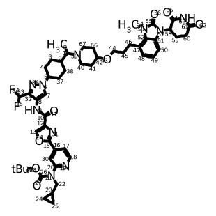 CC(C1CCC(n2cc(NC(=O)c3coc(-c4ccnc(N(CC5CC5)C(=O)OC(C)(C)C)c4)n3)c(C(F)F)n2)CC1)N1CCC(OCCCc2cccc3c2n(C)c(=O)n3C2CCC(=O)NC2=O)CC1